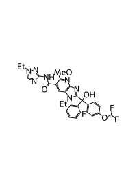 CCn1cnc(NC(=O)c2cc3c(nc2OC)nc(C(O)(c2ccc(OC(F)F)cc2)c2ccccc2F)n3CC)n1